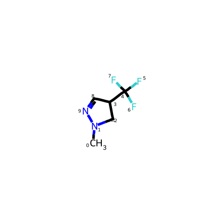 CN1[C]C(C(F)(F)F)C=N1